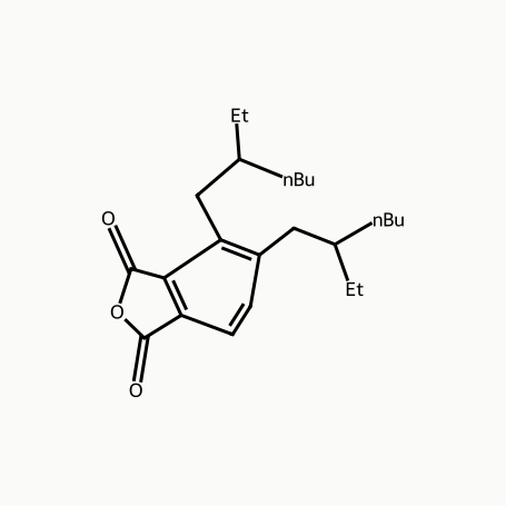 CCCCC(CC)Cc1ccc2c(c1CC(CC)CCCC)C(=O)OC2=O